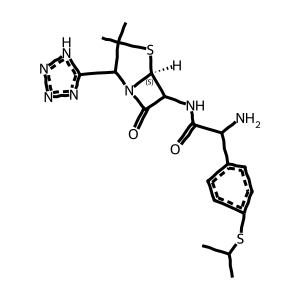 CC(C)Sc1ccc(C(N)C(=O)NC2C(=O)N3C(c4nnn[nH]4)C(C)(C)S[C@@H]23)cc1